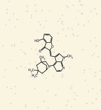 Cn1cc(/C=C2\Oc3cccc(O)c3C2=O)c2c(N3CC4(C)CC3CC(C)(C)C4)ccnc21